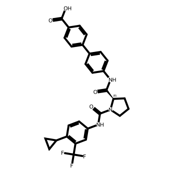 O=C(O)c1ccc(-c2ccc(NC(=O)[C@H]3CCCN3C(=O)Nc3ccc(C4CC4)c(C(F)(F)F)c3)cc2)cc1